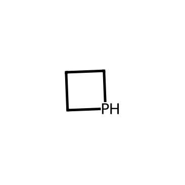 C1CPC1